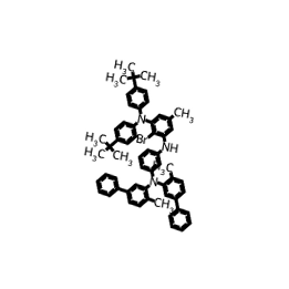 Cc1cc(Nc2cccc(N(c3cc(-c4ccccc4)ccc3C)c3cc(-c4ccccc4)ccc3C)c2)c(Br)c(N(c2ccc(C(C)(C)C)cc2)c2ccc(C(C)(C)C)cc2)c1